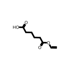 C=COC(=O)CCCCC(=O)O